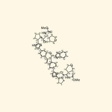 COC(=O)NC(C(=O)N1CCC[C@H]1c1ncc(-c2ccc3c(c2)C=C2c4ccc(-c5c[nH]c(C6CCCN6C(O)[C@H](NC(=O)OC)C6CCOCC6)n5)cc4OC(c4nc5ccccc5s4)C23)[nH]1)C1CCOCC1